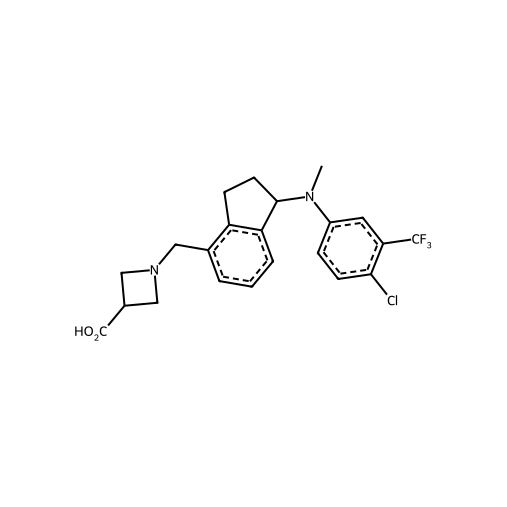 CN(c1ccc(Cl)c(C(F)(F)F)c1)C1CCc2c(CN3CC(C(=O)O)C3)cccc21